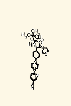 CC(C)(C)OC(=O)N[C@H](C(=O)N1CCSC1)C1CCC(N2CCN(c3ccc(C#N)cn3)CC2)CC1